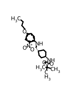 CCCCOc1ccc(NC[C@H]2CC[C@H](NS(=O)(=O)C(C)(C)C)CC2)c([N+](=O)[O-])c1